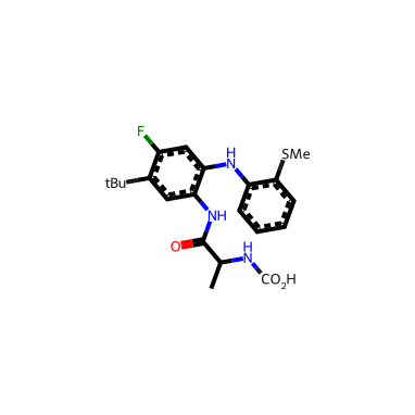 CSc1ccccc1Nc1cc(F)c(C(C)(C)C)cc1NC(=O)C(C)NC(=O)O